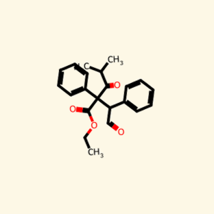 CCOC(=O)C(C(=O)C(C)C)(c1ccccc1)C(C=O)c1ccccc1